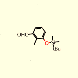 Cc1c(C=O)cccc1O[Si](C)(C)C(C)(C)C